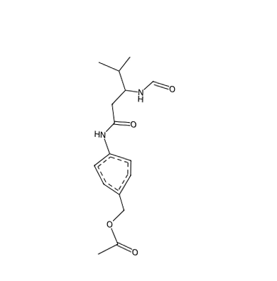 CC(=O)OCc1ccc(NC(=O)CC(NC=O)C(C)C)cc1